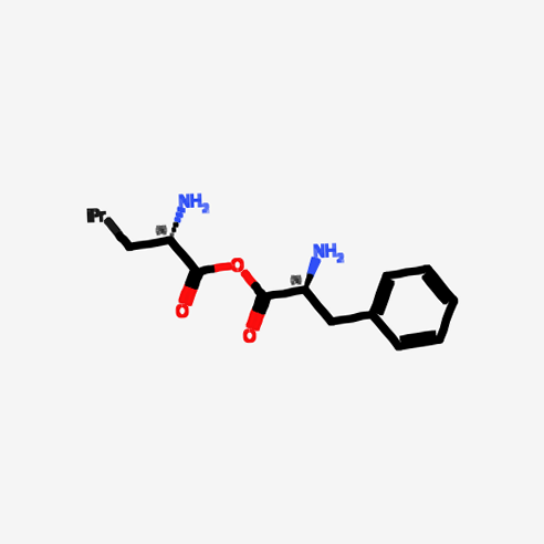 CC(C)C[C@H](N)C(=O)OC(=O)[C@@H](N)Cc1ccccc1